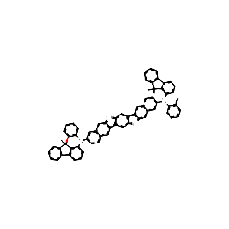 Cc1ccccc1N(c1ccc2cc3c(cc2c1)oc1cc2c(cc13)oc1cc3cc(N(c4ccccc4C)c4cccc5c4C(C)(C)c4ccccc4-5)ccc3cc12)c1cccc2c1C(C)(C)c1ccccc1-2